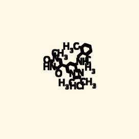 Cc1cccc(C)c1CNc1cc(-c2cn(C)c(=O)[nH]c2=O)cn2c(C)c(C)nc12.Cl